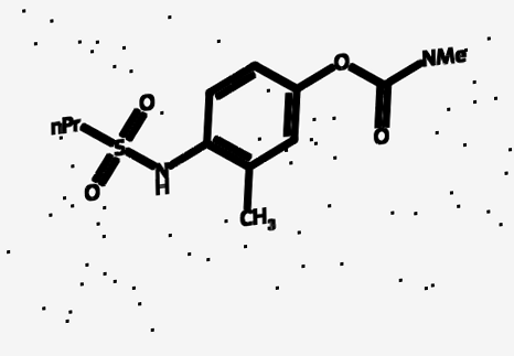 CCCS(=O)(=O)Nc1ccc(OC(=O)NC)cc1C